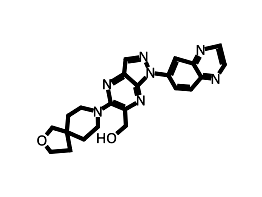 OCc1nc2c(cnn2-c2ccc3nccnc3c2)nc1N1CCC2(CCOC2)CC1